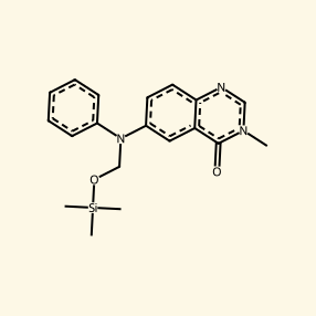 Cn1cnc2ccc(N(CO[Si](C)(C)C)c3ccccc3)cc2c1=O